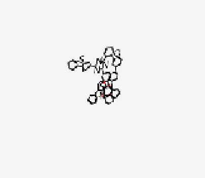 c1ccc(-n2c3ccccc3c3ccc4c5cc(-c6ccc7oc8cccc(-c9nc(-c%10ccc%11c(c%10)sc%10ccccc%10%11)nc(-c%10ccc%11c(c%10)sc%10ccccc%10%11)n9)c8c7c6)ccc5n(-c5ccccc5)c4c32)cc1